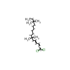 CCC(C)(C)CCCCCCC(C)(C)CC=CC=C=C(Cl)Cl